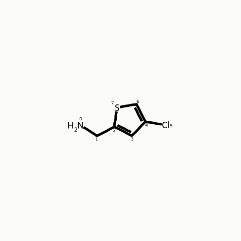 NCc1cc(Cl)cs1